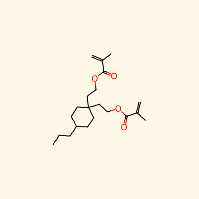 C=C(C)C(=O)OCCC1(CCOC(=O)C(=C)C)CCC(CCC)CC1